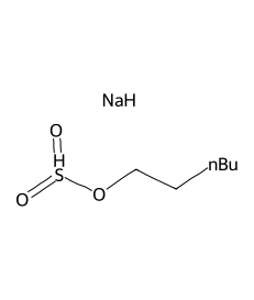 CCCCCCO[SH](=O)=O.[NaH]